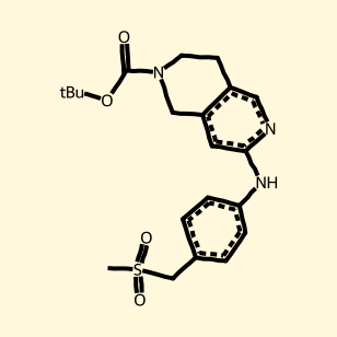 CC(C)(C)OC(=O)N1CCc2cnc(Nc3ccc(CS(C)(=O)=O)cc3)cc2C1